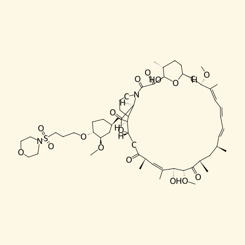 CO[C@H]1C[C@@H]2CC[C@@H](C)[C@@](O)(O2)C(=O)C(=O)N2CCCC3[C@H]2C(=O)O[C@@H](CC(=O)[C@H](C)/C=C(\C)[C@@H](O)[C@@H](OC)C(=O)[C@H](C)C[C@H](C)/C=C/C=C/C=C/1C)[C@H]3C[C@@H]1CC[C@@H](OCCCS(=O)(=O)N2CCOCC2)[C@H](OC)C1